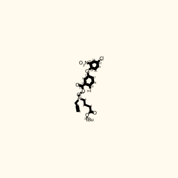 C#CCN(CCCC(=O)OC(C)(C)C)OOC(=O)c1cc(Oc2ccc(Cl)cc2[N+](=O)[O-])ccc1I